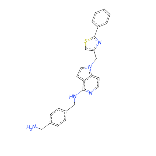 NCc1ccc(CNc2nccc3c2ccn3Cc2csc(-c3ccccc3)n2)cc1